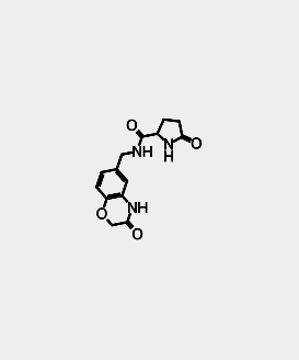 O=C1COc2ccc(CNC(=O)C3CCC(=O)N3)cc2N1